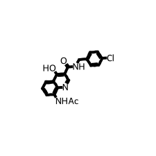 CC(=O)Nc1cccc2c(O)c(C(=O)NCc3ccc(Cl)cc3)cnc12